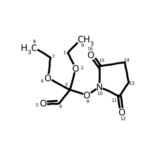 CCOC(C=O)(OCC)ON1C(=O)CCC1=O